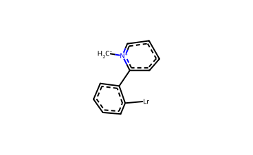 [CH2-][n+]1ccccc1-c1cccc[c]1[Lr]